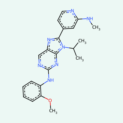 CNc1cc(-c2nc3cnc(Nc4ccccc4OC)nc3n2C(C)C)ccn1